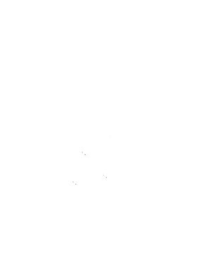 c1ccc2c(c1)ccc1cc(-c3nc(-n4c5ccccc5c5c6c7ccccc7c7ccccc7c6c6c7ccccc7sc6c54)nc4ccccc34)ccc12